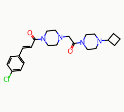 O=C(/C=C/c1ccc(Cl)cc1)N1CCN(CC(=O)N2CCN(C3CCC3)CC2)CC1